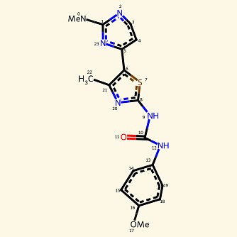 CNc1nccc(-c2sc(NC(=O)Nc3ccc(OC)cc3)nc2C)n1